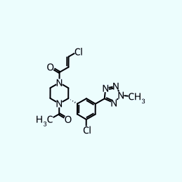 CC(=O)N1CCN(C(=O)/C=C/Cl)C[C@@H]1c1cc(Cl)cc(-c2nnn(C)n2)c1